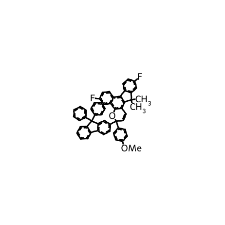 COc1ccc(C2(c3ccc4c(c3)C(c3ccccc3)(c3ccccc3)c3ccccc3-4)C=Cc3c4c(c5ccc(F)cc5c3O2)-c2ccc(F)cc2C4(C)C)cc1